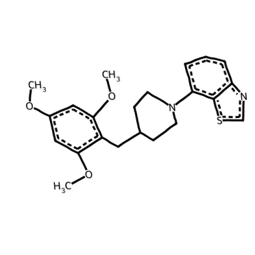 COc1cc(OC)c(CC2CCN(c3cccc4ncsc34)CC2)c(OC)c1